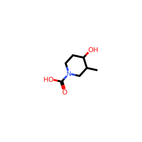 CC1CN(C(=O)O)CCC1O